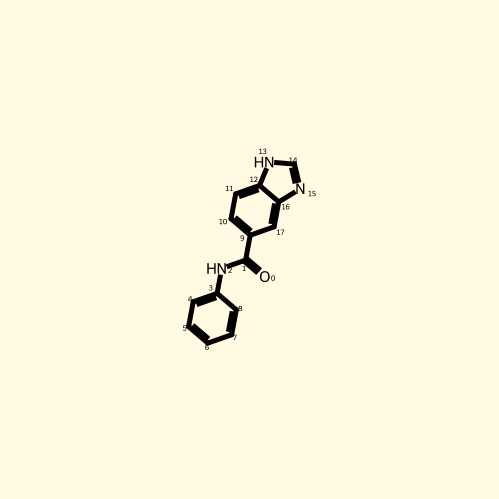 O=C(Nc1ccccc1)c1ccc2[nH]cnc2c1